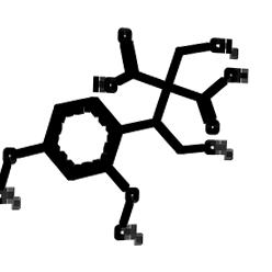 CCC(c1ccc(OC)cc1OC)C(CC)(C(=O)O)C(=O)O